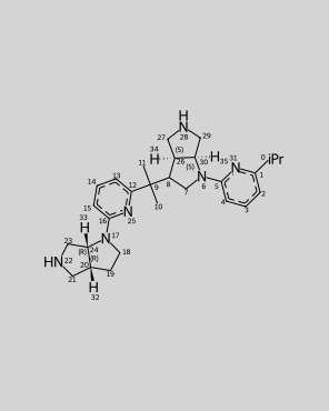 CC(C)c1cccc(N2CC(C(C)(C)c3cccc(N4CC[C@@H]5CNC[C@@H]54)n3)[C@H]3CNC[C@H]32)n1